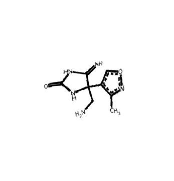 Cc1nocc1C1(CN)NC(=O)NC1=N